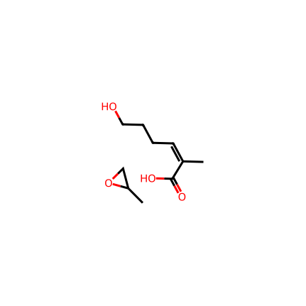 CC(=CCCCO)C(=O)O.CC1CO1